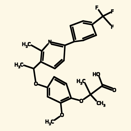 COc1cc(OC(C)c2ccc(-c3ccc(C(F)(F)F)cc3)nc2C)ccc1OC(C)(C)C(=O)O